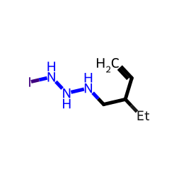 C=CC(CC)CNNNI